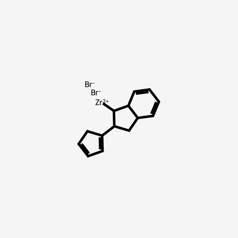 [Br-].[Br-].[Zr+2][CH]1C(C2=CC=CC2)CC2C=CC=CC21